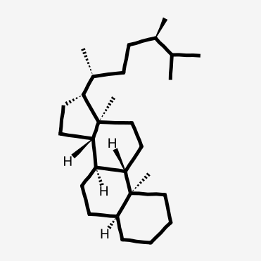 CC(C)[C@H](C)CC[C@@H](C)[C@H]1CC[C@H]2[C@@H]3CC[C@@H]4CCCC[C@]4(C)[C@H]3CC[C@]12C